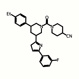 CCc1ccc(C2CC(C3=NC(c4cccc(F)c4)=CC3)CN(C(=O)N3CCC(C#N)CC3)C2)cc1